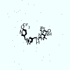 Cc1nc(NCc2cnn(Cc3ccc(OC(F)(F)F)nc3)c2)nc2c1NC(=O)[C@H](C(C)C)N2C